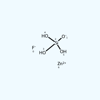 [F-].[O-][Si](O)(O)O.[Zn+2]